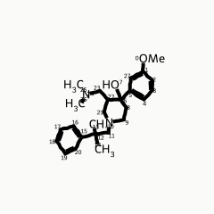 COc1cccc(C2(O)CCN(CC(C)(C)c3ccccc3)CC2CN(C)C)c1